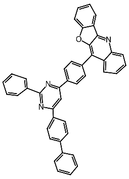 c1ccc(-c2ccc(-c3cc(-c4ccc(-c5c6ccccc6nc6c5oc5ccccc56)cc4)nc(-c4ccccc4)n3)cc2)cc1